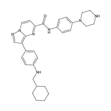 O=C(Nc1ccc(N2CCNCC2)cc1)c1ccn2ncc(-c3ccc(NCC4CCCCC4)cc3)c2n1